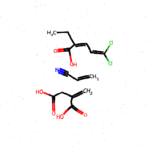 C=C(CC(=O)O)C(=O)O.C=CC#N.CCC(=CC=C(Cl)Cl)C(=O)O